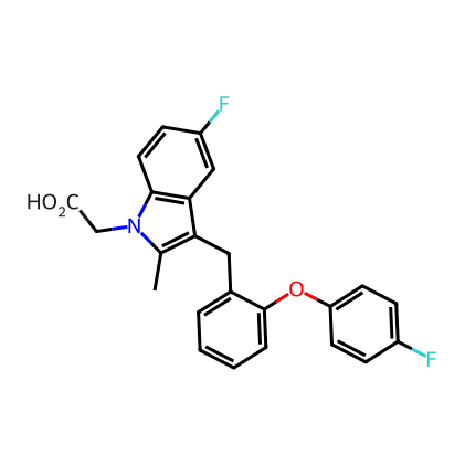 Cc1c(Cc2ccccc2Oc2ccc(F)cc2)c2cc(F)ccc2n1CC(=O)O